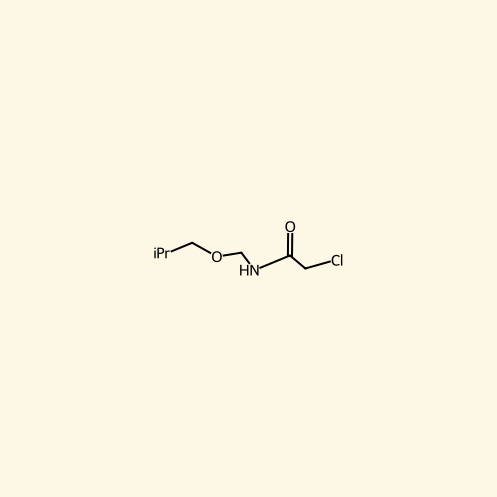 CC(C)COCNC(=O)CCl